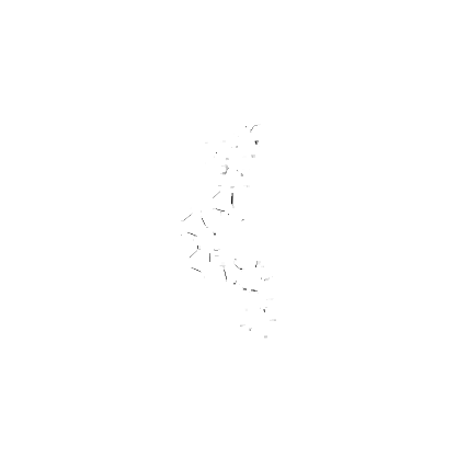 COc1nc(-c2cccc(-c3cccc(-c4cc5c(=O)n(C)c(CN6CCOCC6)nn5c4)c3Cl)c2Cl)ccc1CN(C[C@@H]1CCC(=O)N1)C(=O)OC(C)(C)C